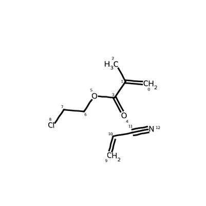 C=C(C)C(=O)OCCCl.C=CC#N